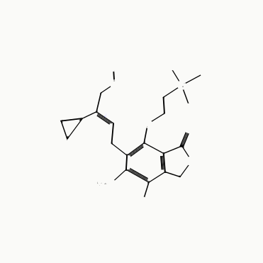 CCOC/C(=C/Cc1c(OC)c(C)c2c(c1OCC[Si](C)(C)C)C(=O)OC2)C1CC1